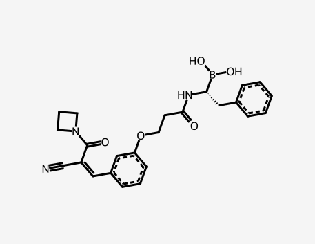 N#CC(=Cc1cccc(OCCC(=O)N[C@@H](Cc2ccccc2)B(O)O)c1)C(=O)N1CCC1